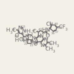 Cc1nc2c(=O)c(N3CCN(C(=O)c4ncnc(C)c4O)[C@H]4CC[C@@H]43)c3n(c2nc1C)C(C(=O)Nc1ccc(C(F)(F)F)cc1Cl)CC3C